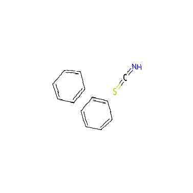 N=C=S.c1ccccc1.c1ccccc1